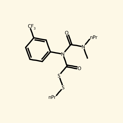 CCCSSC(=O)N(C(=O)N(C)CCC)c1cccc(C(F)(F)F)c1